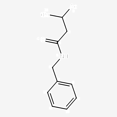 CC(=O)C(CC(=O)NCc1ccccc1)C(C)(C)C